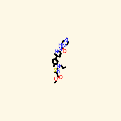 CCCN(c1nc(C(=O)OCC)cs1)c1cc(-c2ccc(NC(=O)N3CCN(C)CC3)nc2)ccc1C